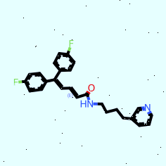 O=C(/C=C/C=C(c1ccc(F)cc1)c1ccc(F)cc1)NCCCCc1cccnc1